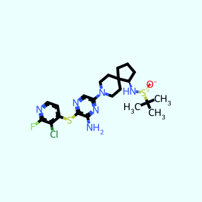 CC(C)(C)[S@+]([O-])N[C@@H]1CCCC12CCN(c1cnc(Sc3ccnc(F)c3Cl)c(N)n1)CC2